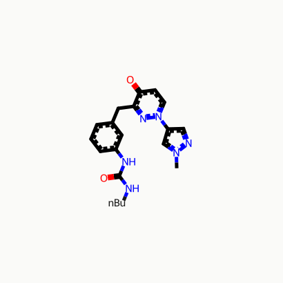 CCCCNC(=O)Nc1cccc(Cc2nn(-c3cnn(C)c3)ccc2=O)c1